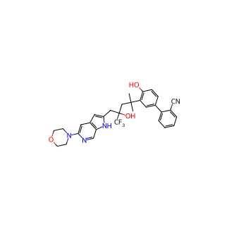 CC(C)(CC(O)(Cc1cc2cc(N3CCOCC3)ncc2[nH]1)C(F)(F)F)c1cc(-c2ccccc2C#N)ccc1O